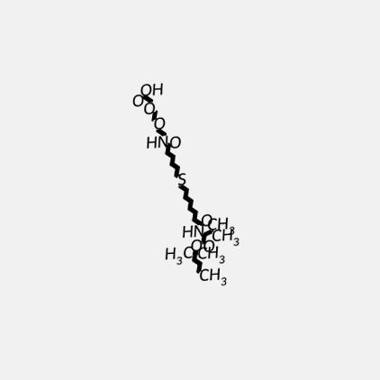 CCCCC(C)(C)OC(=O)C(NC(=O)CCCCCCCSCCCCCC(=O)NCCOCCOCC(=O)O)C(C)C